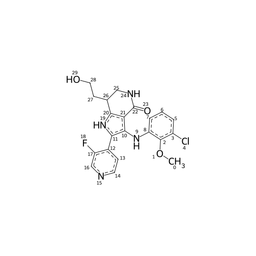 COc1c(Cl)cccc1Nc1c(-c2ccncc2F)[nH]c2c1C(=O)NCC2CCO